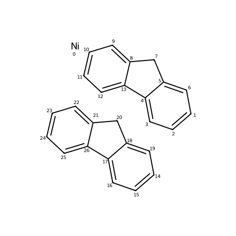 [Ni].c1ccc2c(c1)Cc1ccccc1-2.c1ccc2c(c1)Cc1ccccc1-2